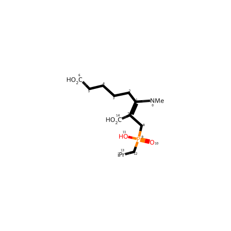 CNC(CCCCC(=O)O)=C(CP(=O)(O)CC(C)C)C(=O)O